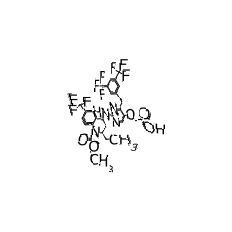 CCOC(=O)N1c2ccc(C(F)(F)F)cc2[C@@H](Nc2ncc(OCC(=O)O)c(Cc3cc(C(F)(F)F)cc(C(F)(F)F)c3)n2)C[C@H]1CC